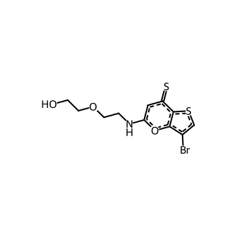 OCCOCCNc1cc(=S)c2scc(Br)c2o1